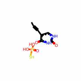 CC#Cc1c[nH]c(=O)[nH]c1=O.O=P(O)(O)S